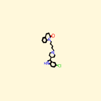 O=C1CCc2ccccc2N1CCCCCN1CCC(c2c[nH]c3ccc(Cl)cc23)CC1